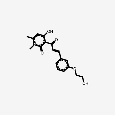 Cc1cc(O)c(C(=O)/C=C/c2cccc(OCCO)c2)c(=O)n1C